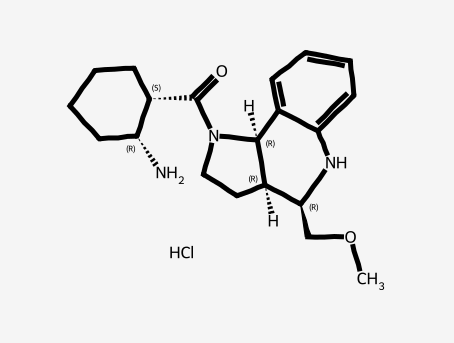 COC[C@@H]1Nc2ccccc2[C@H]2[C@@H]1CCN2C(=O)[C@H]1CCCC[C@H]1N.Cl